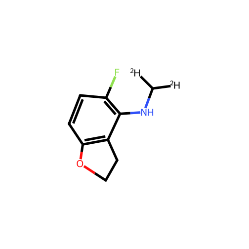 [2H]C([2H])Nc1c(F)ccc2c1CCO2